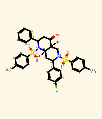 Cc1ccc(S(=O)(=O)N2C[C@H]3C(=O)CC(c4ccccc4)N(S(=O)(=O)c4ccc(C)cc4)[C@H]3CC2c2ccc(Cl)cc2)cc1